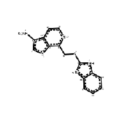 CC(=O)Nc1csc2c(CSc3nc4ccccc4[nH]3)nccc12